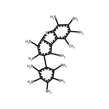 Bc1c(B)c(B)c(-c2c(B)c(B)c3sc4c(B)c(B)c(B)c(C)c4c3c2B)c(B)c1B